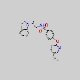 CC(CNS(=O)(=O)c1ccc(Oc2ccc(C(F)(F)F)cn2)cc1)N1CCc2ccccc21